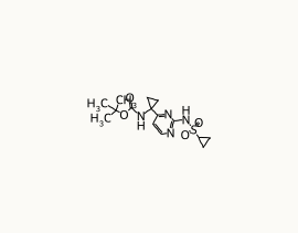 CC(C)(C)OC(=O)NC1(c2ccnc(NS(=O)(=O)C3CC3)n2)CC1